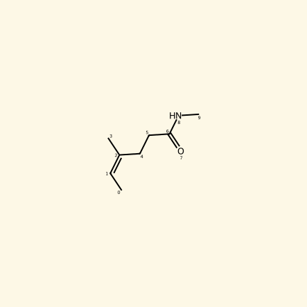 CC=C(C)CCC(=O)NC